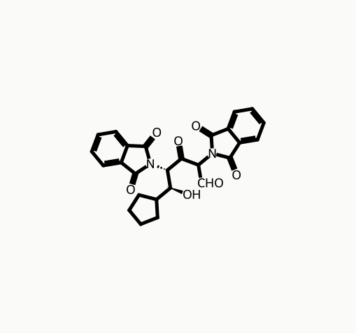 O=CC(C(=O)[C@H]([C@@H](O)C1CCCC1)N1C(=O)c2ccccc2C1=O)N1C(=O)c2ccccc2C1=O